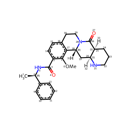 COc1c(C(=O)N[C@H](C)c2ccccc2)ccc2c1[C@H]1C[C@@H]3NCCC[C@@H]3C(=O)N1CC2